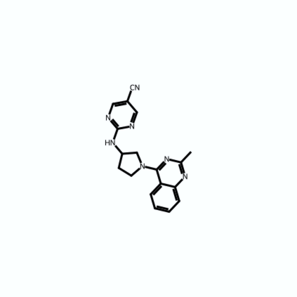 Cc1nc(N2CCC(Nc3ncc(C#N)cn3)C2)c2ccccc2n1